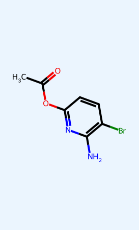 CC(=O)Oc1ccc(Br)c(N)n1